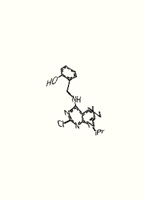 CC(C)n1nnc2c(NCc3ccccc3O)nc(Cl)nc21